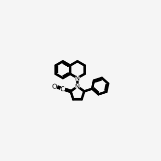 O=C=C1CCC(c2ccccc2)N1N1CCCc2ccccc21